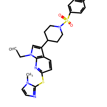 CC(C)Oc1ccc(S(=O)(=O)N2CCC(c3cn(CC=O)c4nc(Sc5nccn5C)ccc34)CC2)cc1